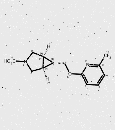 O=C(O)N1C[C@@H]2[C@@H](COc3cccc(C(F)(F)F)n3)[C@@H]2C1